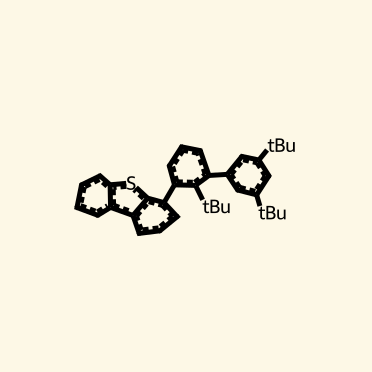 CC(C)(C)c1cc(-c2cccc(-c3cccc4c3sc3ccccc34)c2C(C)(C)C)cc(C(C)(C)C)c1